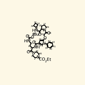 CCOC(=O)N1CCN(C(=O)C(CCNC(=O)OC(C)(C)C)NC(=O)c2cc(OCC(=O)N3CCCC3C(=O)NC3CCC3)n(-c3ccccc3)n2)CC1